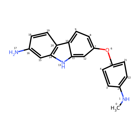 CNc1ccc(Oc2ccc3c(c2)[nH]c2cc(N)ccc23)cc1